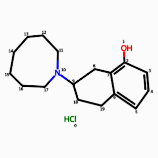 Cl.Oc1cccc2c1CC(N1CCCCCCC1)CC2